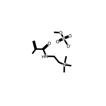 C=C(C)C(=O)NCC[N+](C)(C)C.COS(=O)(=O)[O-]